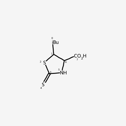 CCC(C)C1SC(=S)NC1C(=O)O